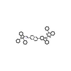 C1=CC2C=C(c3ccc4c(c3)c3ccccc3n4-c3nc(-c4ccccc4)c4ccccc4n3)C=CC2C=C1/C=C/c1c(-c2ccccc2)n(-c2ccccc2)c2ccccc12